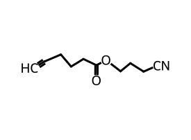 C#CCCCC(=O)OCCCC#N